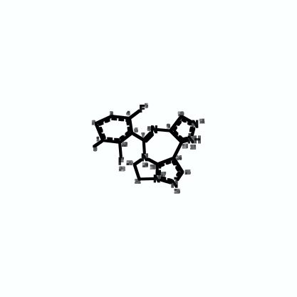 Cc1ccc(F)c(C2=Nc3cn[nH]c3-c3cnn4c3N2CC4)c1F